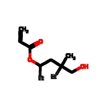 C=CC(=O)OC(CC)CC(C)(CC)CO